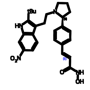 CC(C)(C)c1[nH]c2cc([N+](=O)[O-])ccc2c1CCN1CCC[C@H]1c1ccc(/C=C/C(=O)NO)cc1